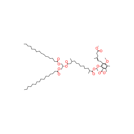 CCCCCCCCCCCCCCCC(=O)OCC(COC(=O)CCCCCCCCCCCCCCC)OC(=O)CC(C)CCCCCCCC(C)C(=O)OC(C)Oc1c(CC=C(C)CCC(=O)OC)c(OC)c(C)c2c1C(=O)OC2